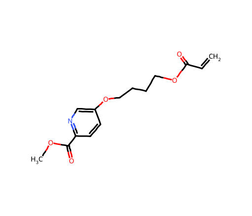 C=CC(=O)OCCCCOc1ccc(C(=O)OC)nc1